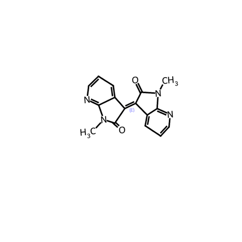 CN1C(=O)/C(=C2/C(=O)N(C)c3ncccc32)c2cccnc21